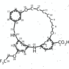 O=C(O)c1ccc2cc1OCCCCCCOc1cccc(c1)CNc1nc(nc(OCC(F)(F)F)n1)N2